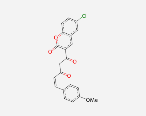 COc1ccc(/C=C\C(=O)CC(=O)c2cc3cc(Cl)ccc3oc2=O)cc1